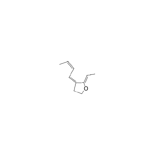 C\C=C/C=C1/CCO/C1=C\C